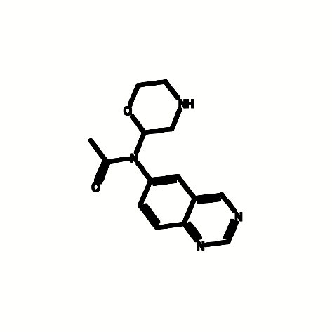 CC(=O)N(c1ccc2ncncc2c1)C1CNCCO1